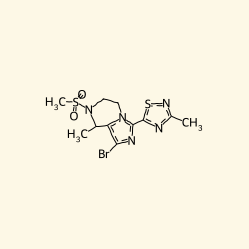 Cc1nsc(-c2nc(Br)c3n2CCN(S(C)(=O)=O)C3C)n1